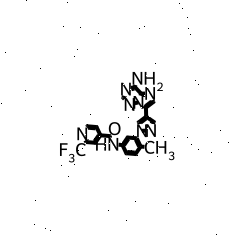 Cc1ccc(NC(=O)c2ccnc(C(F)(F)F)c2)cc1-n1cc(-c2cnc3c(N)ncnn23)cn1